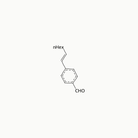 CCCCCCC=Cc1ccc(C=O)cc1